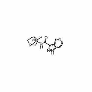 O=C(N[C@@H]1CN2CCC1CC2)c1n[nH]c2ccncc12